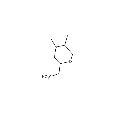 CC1COC(CC(=O)O)CN1C